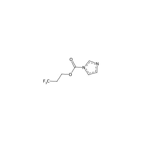 O=C(OCCC(F)(F)F)n1ccnc1